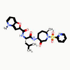 [2H]N1C=CC=C2OC(C(=O)N[C@@H](CC(C)C)C(=O)N[C@H]3CC[C@@H](C)N(S(=O)(=O)c4ccccn4)CC3=O)C=C21